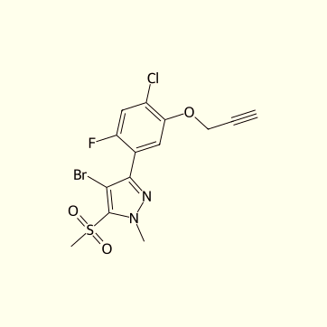 C#CCOc1cc(-c2nn(C)c(S(C)(=O)=O)c2Br)c(F)cc1Cl